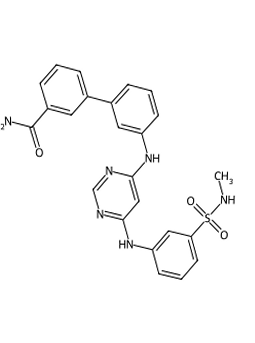 CNS(=O)(=O)c1cccc(Nc2cc(Nc3cccc(-c4cccc(C(N)=O)c4)c3)ncn2)c1